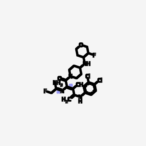 C=C(Nc1ccc(Cl)c(Cl)c1)/C(C)=C(\N=C(/N)CF)C(=O)N1CCC(NC2CCOCC2F)CC1